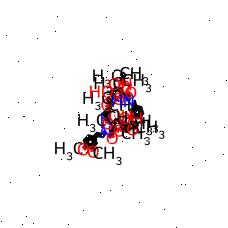 COc1ccc(CCNC(=O)C2O[C@@H](C(C)(C)OC(C)C)[C@@H](O)[C@@H](O)[C@@H]2OC(C)(C)CCOC(C)(C)[C@@H]2OC(C(=O)NCc3ccccc3)[C@@H](OC(C)(C)C(C)C)[C@H](O)[C@@H]2O)cc1OC